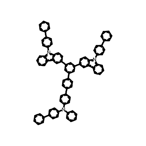 c1ccc(-c2ccc(N(c3ccccc3)c3ccc(-c4ccc(-c5cc(-c6ccc7c(c6)c6ccccc6n7-c6ccc(-c7ccccc7)cc6)cc(-c6ccc7c(c6)c6ccccc6n7-c6ccc(-c7ccccc7)cc6)c5)cc4)cc3)cc2)cc1